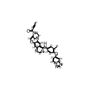 CC#CC(=O)N1CCN2CC1=COc1cc3ncnc(Nc4ccc(Oc5ccn6ncnc6c5)c(C)c4)c3cc12